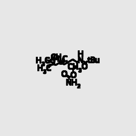 CC(C)(CCC[Si](C)(C)C)C[C@H](CCOC(N)=O)NC(=O)C(C)(C)C